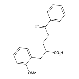 COc1ccccc1CC(CSC(=O)c1ccccc1)C(=O)O